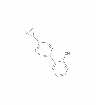 Oc1ccccc1-c1ccc(C2CC2)nc1